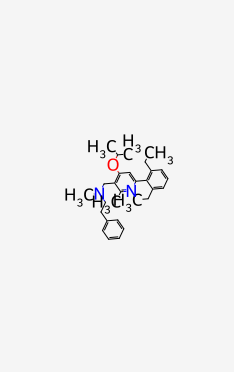 CCc1cccc(CC)c1-c1cc(OC(C)C)c(CN(C)CCc2ccccc2)c(C)n1